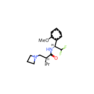 COc1ccccc1[C@@H](NC(=O)[C@H](CN1CCC1)C(C)C)C(F)F